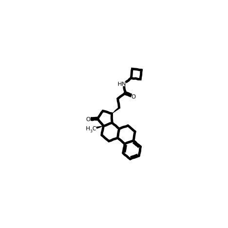 C[C@]12CCC3c4ccccc4CCC3C1[C@H](CCC(=O)NC1CCC1)CC2=O